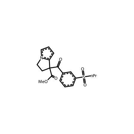 CCCS(=O)(=O)c1cccc(C(=O)C2(C(=O)OC)CCn3cccc32)c1